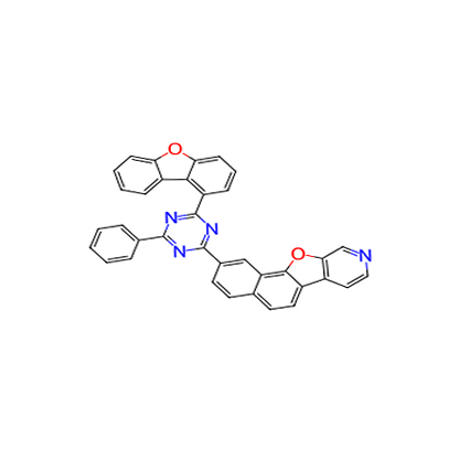 c1ccc(-c2nc(-c3ccc4ccc5c6ccncc6oc5c4c3)nc(-c3cccc4oc5ccccc5c34)n2)cc1